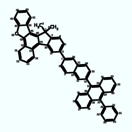 CC1(C)c2ccc(-c3ccc4cc(-c5c6ccccc6c(-c6ccccc6)c6ccccc56)ccc4c3)cc2-c2c1c1c3ccccc3oc1c1ccccc21